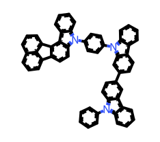 c1ccc(-n2c3ccccc3c3cc(-c4ccc5c6ccccc6n(-c6ccc(-n7c8ccccc8c8c9c(ccc87)-c7cccc8cccc-9c78)cc6)c5c4)ccc32)cc1